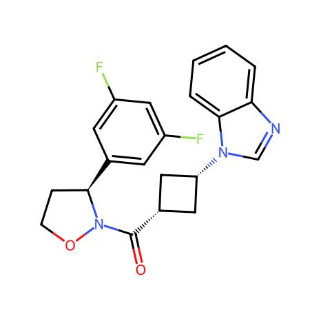 O=C([C@H]1C[C@@H](n2cnc3ccccc32)C1)N1OCC[C@H]1c1cc(F)cc(F)c1